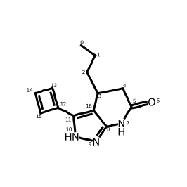 CCCC1CC(=O)Nc2n[nH]c(C3=CC=C3)c21